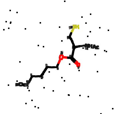 CCCCCCCCCCCCOC(=O)C(CS)NC(C)=O